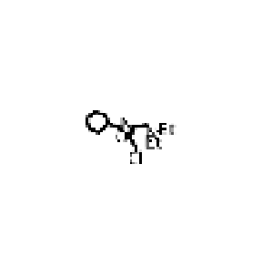 CCN(CC)Cc1nc(C2CCCCC2)oc1CCl